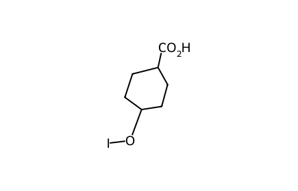 O=C(O)C1CCC(OI)CC1